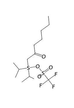 CCCCCC(=O)CS(OS(=O)(=O)C(F)(F)F)(C(C)C)C(C)C